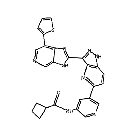 O=C(Nc1cncc(-c2ccc3[nH]nc(-c4nc5c(-c6cccs6)cncc5[nH]4)c3n2)c1)C1CCC1